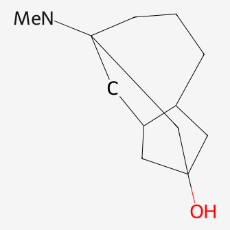 CNC12CCCC3CC(O)(CC3C1)C2